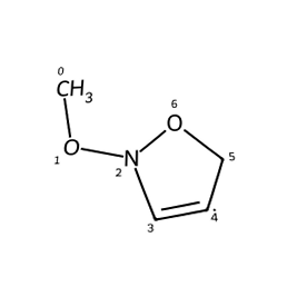 CON1C=[C]CO1